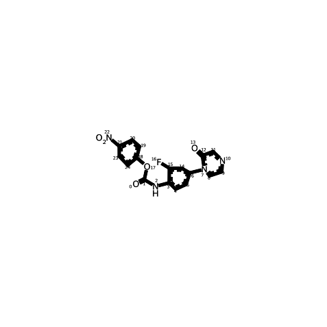 O=C(Nc1ccc(-n2ccncc2=O)cc1F)Oc1ccc([N+](=O)[O-])cc1